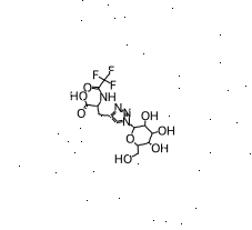 O=C(O)C(Cc1cn([C@@H]2OC(CO)[C@H](O)C(O)C2O)nn1)NC(=O)C(F)(F)F